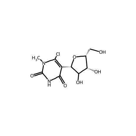 Cn1c(Cl)c([C@@H]2O[C@H](CO)[C@H](O)C2O)c(=O)[nH]c1=O